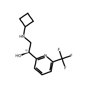 O[C@@H](CNC1CCC1)c1cccc(C(F)(F)F)n1